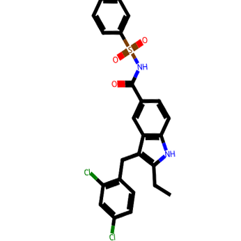 CCc1[nH]c2ccc(C(=O)NS(=O)(=O)c3ccccc3)cc2c1Cc1ccc(Cl)cc1Cl